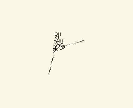 CCCCCCCCCCCCCCCCCOS(=O)(=O)c1cc(C(=O)Nc2ccc(O)cc2)cc(S(=O)(=O)OCCCCCCCCCCCCCC)c1